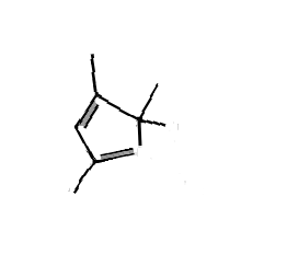 CC1=CC(C)=P[C]1(C)[Zr+2].[Cl-].[Cl-]